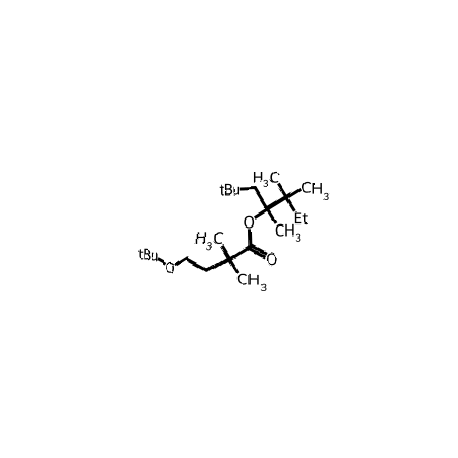 CCC(C)(C)C(C)(CC(C)(C)C)OC(=O)C(C)(C)CCOC(C)(C)C